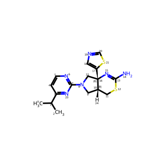 CC(C)c1ccnc(N2C[C@H]3CSC(N)=N[C@@]3(c3cncs3)C2)n1